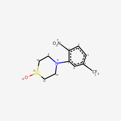 O=[N+]([O-])c1ccc(C(F)(F)F)cc1N1CC[S+]([O-])CC1